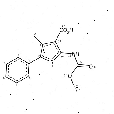 Cc1c(-c2ccccc2)sc(NC(=O)OC(C)(C)C)c1C(=O)O